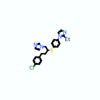 CCc1nccn1-c1ccc(SC(CCc2ccc(Cl)cc2)Cn2ccnc2)cc1